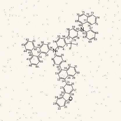 CC1(C)c2cc(N(c3ccc(-c4ccc(-c5ccc6oc7ccccc7c6c5)c5ccccc45)cc3)c3ccc4c5ccccc5c5ccccc5c4c3)ccc2-c2ccc(N(c3ccccc3)c3cccc4ccccc34)cc21